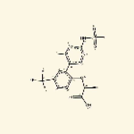 Cc1nc(NS(C)(=O)=O)ncc1-c1cc(C(F)(F)F)ccc1O[C@@H](C)C(=O)O